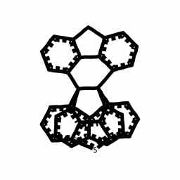 c1cc2c3c(c1)C14c5cccc6cccc(c56)C1(c1cccc(c1-3)C2)c1cccc2sc3cccc4c3c12